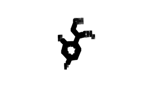 C=C(CO)c1ccc(F)cc1F